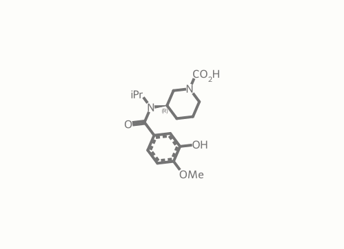 COc1ccc(C(=O)N(C(C)C)[C@@H]2CCCN(C(=O)O)C2)cc1O